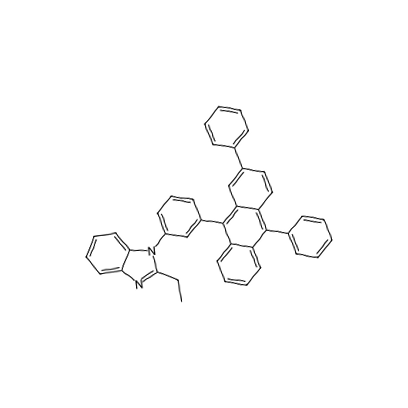 CCc1nc2ccccc2n1-c1cccc(-c2c3ccccc3c(-c3ccccc3)c3ccc(-c4ccccc4)cc23)c1